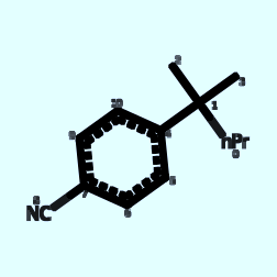 CCCC(C)(C)c1ccc(C#N)cc1